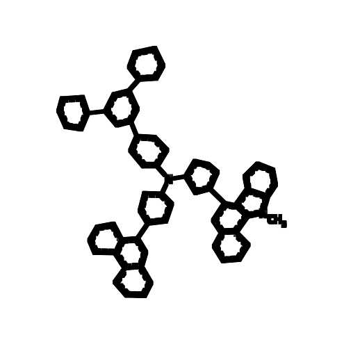 Cn1c2ccccc2c2c(-c3cccc(N(c4ccc(-c5cc(-c6ccccc6)cc(-c6ccccc6)c5)cc4)c4ccc(-c5cc6ccccc6c6ccccc56)cc4)c3)cc3ccccc3c21